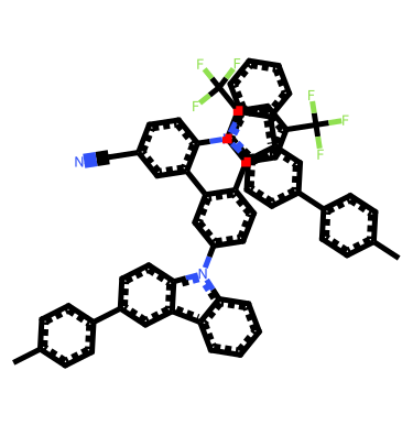 Cc1ccc(-c2ccc3c(c2)c2ccccc2n3-c2ccc(-c3cc(C(F)(F)F)cc(C(F)(F)F)c3)c(-c3cc(C#N)ccc3-n3c4ccccc4c4cc(-c5ccc(C)cc5)ccc43)c2)cc1